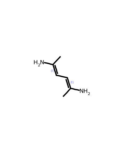 C/C(N)=C\C=C(/C)N